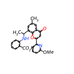 COc1cccc(-c2cc(=O)c3cc(C)cc(C(C)Nc4ccccc4C(=O)O)c3o2)n1